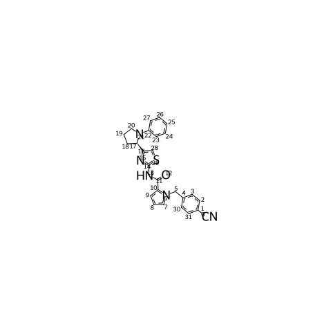 N#Cc1ccc(Cn2cccc2C(=O)Nc2nc([C@H]3CCCN3c3ccccc3)cs2)cc1